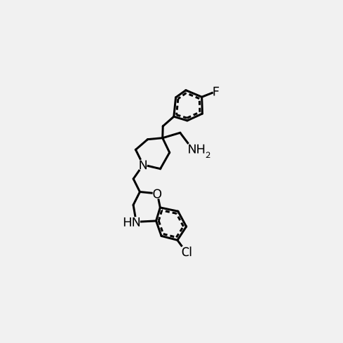 NCC1(Cc2ccc(F)cc2)CCN(CC2CNc3cc(Cl)ccc3O2)CC1